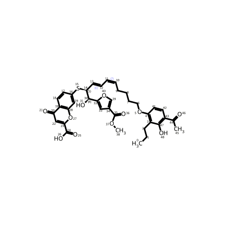 CCCc1c(OCCCC/C=C\C=C\[C@H](Sc2ccc3c(=O)cc(C(=O)O)oc3c2)[C@H](O)c2cc(C(=O)OC)co2)ccc(C(C)=O)c1O